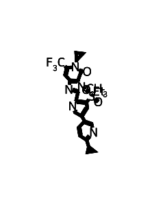 CCS(=O)(=O)c1cc(-c2ccc(C3CC3)nc2)cnc1-c1nc2cc(C(F)(F)F)n(C3CC3)c(=O)c2n1C